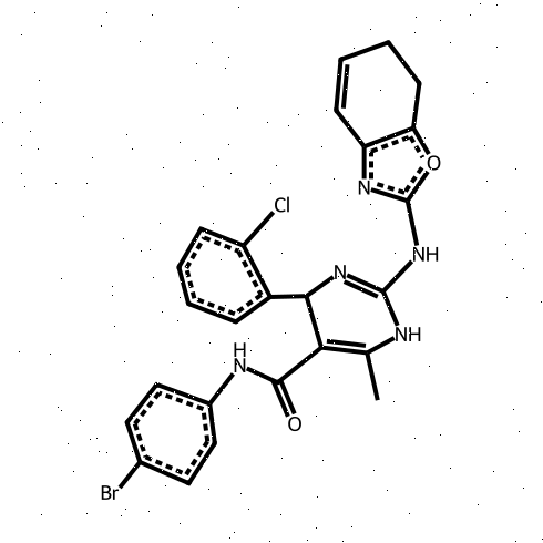 CC1=C(C(=O)Nc2ccc(Br)cc2)C(c2ccccc2Cl)N=C(Nc2nc3c(o2)CCC=C3)N1